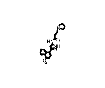 COc1ccc(-c2cc(NC(=O)CCCN3CCCC3)[nH]n2)c2ccccc12